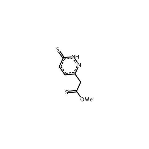 COC(=S)Cc1ccc(=S)[nH]n1